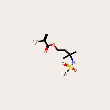 C=C(C(=O)OCCC(C)(C)NS(=O)(=O)C(F)(F)F)C(F)(F)F